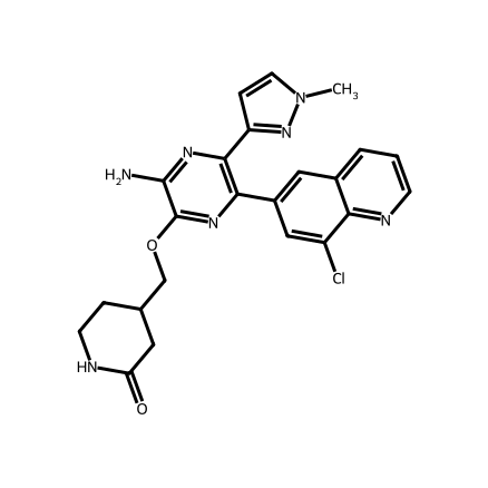 Cn1ccc(-c2nc(N)c(OCC3CCNC(=O)C3)nc2-c2cc(Cl)c3ncccc3c2)n1